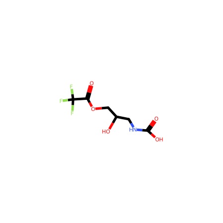 O=C(O)NCC(O)COC(=O)C(F)(F)F